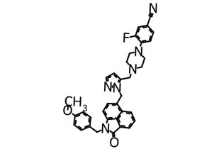 COc1ccc(CN2C(=O)c3cccc4c(Cn5nccc5CN5CCN(c6ccc(C#N)cc6F)CC5)ccc2c34)cc1